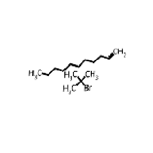 C=CCCCCCCCCC.CC(C)(C)Br